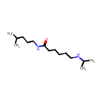 CC(C)CCCNC(=O)CCCCCNC(C)C